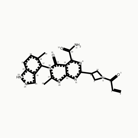 C=CC(=O)N1CC(c2nc(C(N)=O)c3c(=O)n(-c4c(C)ccc5[nH]ncc45)c(C)nc3n2)C1